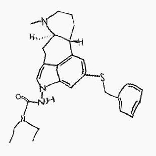 CCN(CC)C(=O)Nn1cc2c3c(cc(SCc4ccccc4)cc31)[C@H]1CCCN(C)[C@@H]1C2